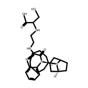 O=C(O)C(CO)NCCNc1nc2ccccc2n([C@H]2CC3CC[C@@H](C2)N3C2CCCCCCC2)c1=O